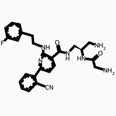 N#Cc1ccccc1-c1ccc(C(=O)NC[C@@H](CN)NC(=O)CN)c(NCCc2cccc(F)c2)n1